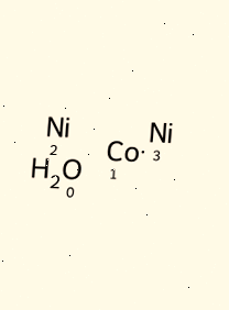 O.[Co].[Ni].[Ni]